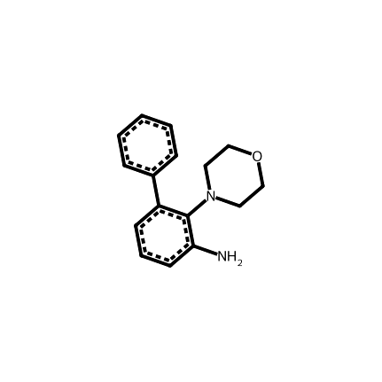 Nc1cccc(-c2ccccc2)c1N1CCOCC1